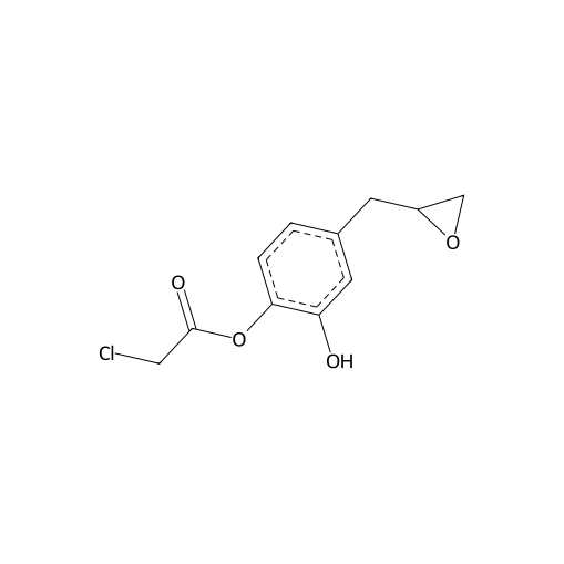 O=C(CCl)Oc1ccc(CC2CO2)cc1O